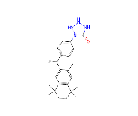 C=C(c1ccc(N2NNNC2=O)cc1)c1cc2c(cc1C)C(C)(C)CCC2(C)C